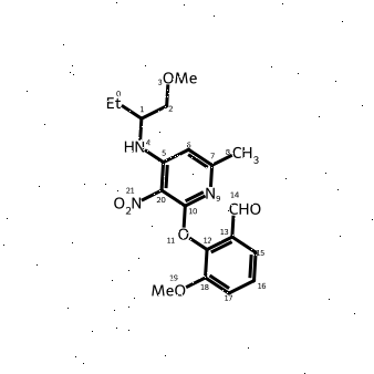 CCC(COC)Nc1cc(C)nc(Oc2c(C=O)cccc2OC)c1[N+](=O)[O-]